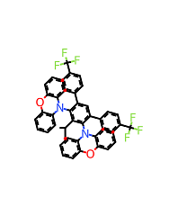 CC(C)c1c(N2c3ccccc3Oc3ccccc32)c(-c2ccc(C(F)(F)F)cc2)cc(-c2ccc(C(F)(F)F)cc2)c1N1c2ccccc2Oc2ccccc21